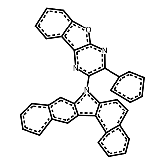 c1ccc(-c2nc3oc4ccccc4c3nc2-n2c3cc4ccccc4cc3c3c4ccccc4ccc32)cc1